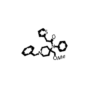 COCC1(N(C(=O)Cc2cccs2)c2ccccc2)CCN(Cc2ccccc2)CC1